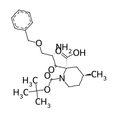 C[C@H]1CCN(C(=O)OC(C)(C)C)[C@@](C(=O)O)(C(=O)[C@@H](N)COCc2ccccc2)C1